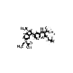 CCN(C(=O)O)c1cnc2c(c1)c(-c1cncc(NC(C(=O)NCC(F)(F)F)C(C)C)c1)cn2C